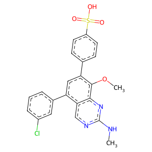 CNc1ncc2c(-c3cccc(Cl)c3)cc(-c3ccc(S(=O)(=O)O)cc3)c(OC)c2n1